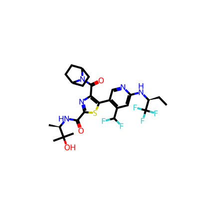 CC[C@H](Nc1cc(C(F)F)c(-c2sc(C(=O)N[C@H](C)C(C)(C)O)nc2C(=O)N2C3CCC2CC3)cn1)C(F)(F)F